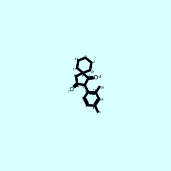 Cc1ccc(C2C(=O)CC3(CCCCC3)C2=O)c(C)c1